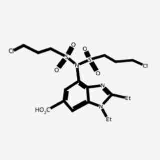 CCc1nc2c(N(S(=O)(=O)CCCCl)S(=O)(=O)CCCCl)cc(C(=O)O)cc2n1CC